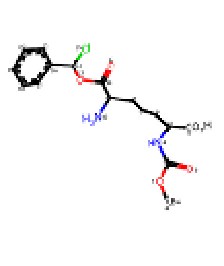 CC(C)(C)OC(=O)N[C@@H](CCCC(N)C(=O)OC(Cl)c1ccccc1)C(=O)O